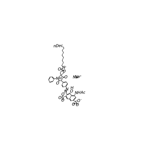 CCCCCCCCCCCCCCCCCCN(C)S(=O)(=O)CC(C)(C)C(=O)C(C(=O)Nc1ccccc1)c1ccc(N=Nc2c(S(=O)(=O)[O-])cc3cc(S(=O)(=O)[O-])cc(NC(C)=O)c3c2O)cc1.[Na+].[Na+]